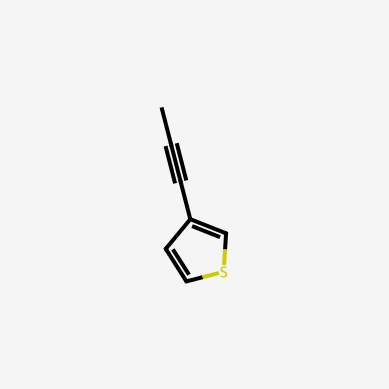 CC#Cc1ccsc1